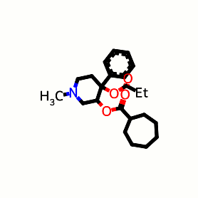 CCC(=O)OC1(c2ccccc2)CCN(C)CC1OC(=O)C1CCCCCC1